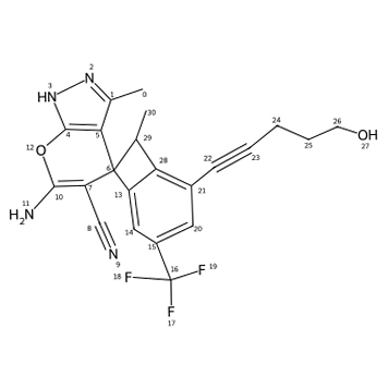 Cc1n[nH]c2c1C1(C(C#N)=C(N)O2)c2cc(C(F)(F)F)cc(C#CCCCO)c2C1C